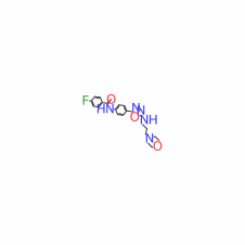 O=C(Nc1ccc(-c2nnc(NCCCN3CCOCC3)o2)cc1)c1ccc(F)cc1